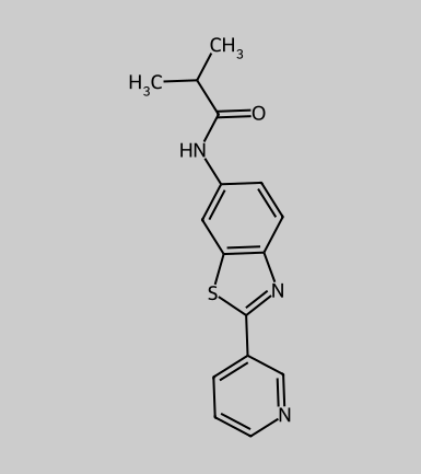 CC(C)C(=O)Nc1ccc2nc(-c3cccnc3)sc2c1